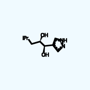 CC(C)C[C@H](O)[C@H](O)c1cn[nH]c1